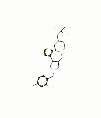 CCC[C@@](C)(CC1CCN(CC2CN(Cc3ccc(Cl)cc3Cl)CC2c2ccsc2)CC1)OC